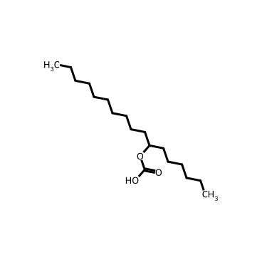 CCCCCCCCCCC(CCCCCC)OC(=O)O